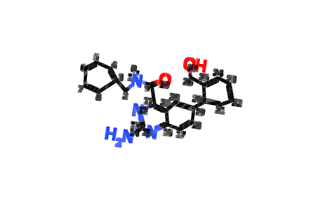 CN(Cc1ccccc1)C(=O)c1nc(N)nc2ccc(-c3ccccc3CO)cc12